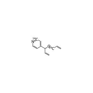 C=C[14CH2]O[C](C=C)c1ccn[14cH]c1